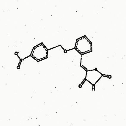 O=C1NC(=O)/C(=C/c2ccccc2OCc2ccc([N+](=O)[O-])cc2)S1